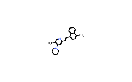 Cc1cnc(C=Cc2ccc(C)c3ccccc23)cc1N1CCCCC1